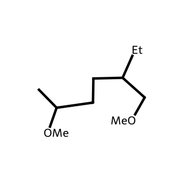 CCC(CCC(C)OC)COC